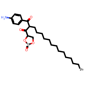 CC(C)CCCCCCCCCCCCCC(C(=O)c1ccc(N)cc1)C(=O)C1C[O][Ti](=[O])[O]1